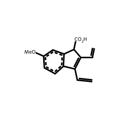 C=CC1=C(C=C)C(C(=O)O)c2cc(OC)ccc21